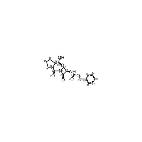 O=C(NC1CN(C(=O)N2CCC[C@@H]2C(=O)O)C1=O)OCc1ccccc1